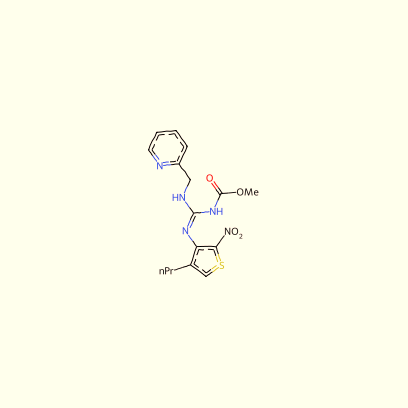 CCCc1csc([N+](=O)[O-])c1N=C(NCc1ccccn1)NC(=O)OC